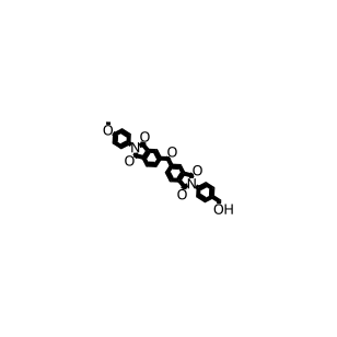 COc1ccc(N2C(=O)c3ccc(C(=O)c4ccc5c(c4)C(=O)N(c4ccc(CO)cc4)C5=O)cc3C2=O)cc1